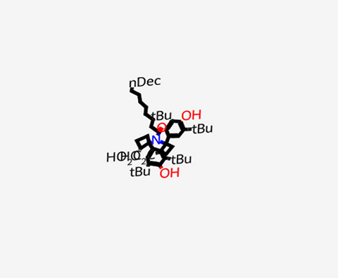 CCCCCCCCCCCCCCCCCC(=O)N(C1(c2cc(C(C)(C)C)c(O)c(C(C)(C)C)c2)CCC1C(=O)O)C1(c2cc(C(C)(C)C)c(O)c(C(C)(C)C)c2)CCC1C(=O)O